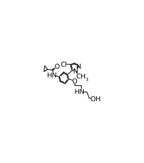 Cn1ncc(Cl)c1-c1cc(NC(=O)C2CC2)ccc1OCCNCCO